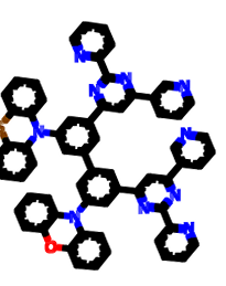 c1ccc(-c2nc(-c3cccnc3)cc(-c3cc(-c4cc(-c5cc(-c6cccnc6)nc(-c6ccccn6)n5)cc(N5c6ccccc6Sc6ccccc65)c4)cc(N4c5ccccc5Oc5ccccc54)c3)n2)nc1